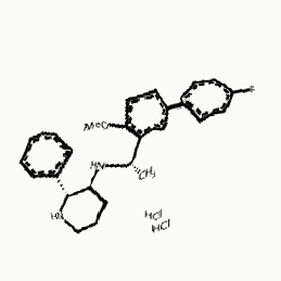 COc1ccc(-c2ccc(F)cc2)cc1[C@H](C)N[C@H]1CCCN[C@@H]1c1ccccc1.Cl.Cl